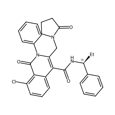 CC[C@H](NC(=O)c1c(CN2CCCC2=O)n(-c2ccccc2)c(=O)c2c(Cl)cccc12)c1ccccc1